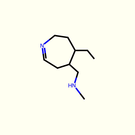 CCC1CCN=CCC1CNC